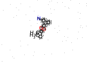 CC1(C)c2ccccc2-c2cc3c(cc21)Oc1ccc(-c2ccccc2-c2ccc(C#N)cc2)cc1O3